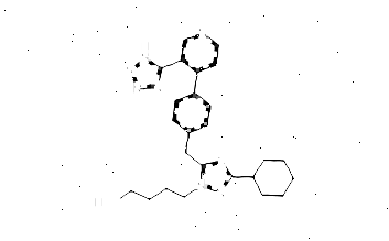 CCCCCn1nc(C2CCCCC2)nc1Cc1ccc(-c2ccncc2-c2nnn[nH]2)cc1